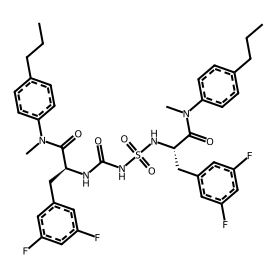 CCCc1ccc(N(C)C(=O)[C@H](Cc2cc(F)cc(F)c2)NC(=O)NS(=O)(=O)N[C@@H](Cc2cc(F)cc(F)c2)C(=O)N(C)c2ccc(CCC)cc2)cc1